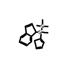 C[Si](C)(C)[Si](C)(C1=CC=CC1)C1C=Cc2ccccc21